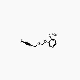 COc1ccccc1OCOCC#CI